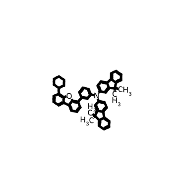 CC1(C)c2ccccc2-c2ccc(N(c3cccc(-c4cccc5c4oc4c(C6CCCCC6)cccc45)c3)c3ccc4c(c3)C(C)(C)c3ccccc3-4)cc21